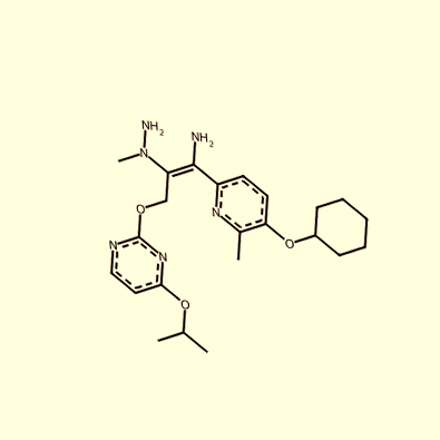 Cc1nc(/C(N)=C(\COc2nccc(OC(C)C)n2)N(C)N)ccc1OC1CCCCC1